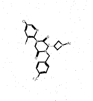 CC(=O)N1CC([C@H]2C(=O)N(c3ncc(Cl)cc3F)CC(=O)N2Cc2ccc(C(F)(F)F)cc2)C1